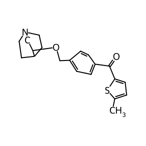 Cc1ccc(C(=O)c2ccc(COC3CN4CCC3CC4)cc2)s1